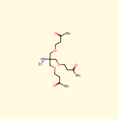 CCNC(COCCC(=O)C(C)(C)C)(COCCC(=O)C(C)(C)C)COCCC(=O)C(C)(C)C